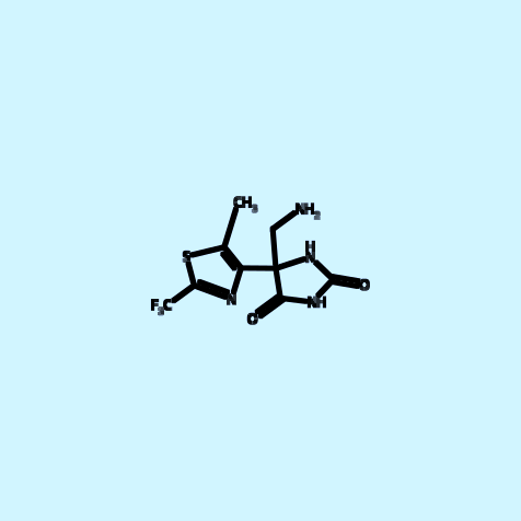 Cc1sc(C(F)(F)F)nc1C1(CN)NC(=O)NC1=O